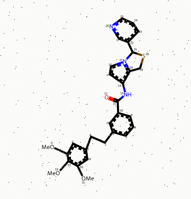 COc1cc(CCc2cccc(C(=O)Nc3ccn4c3CSC4c3cccnc3)c2)cc(OC)c1OC